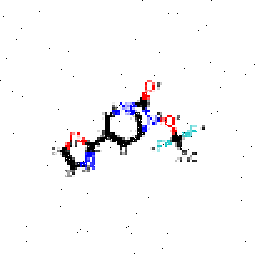 CC(=O)C(F)(F)ON1C(=O)N2CC(c3ncco3)=CC1C2